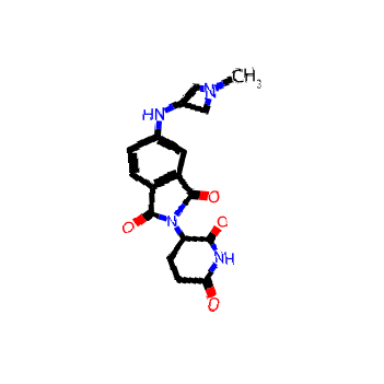 CN1CC(Nc2ccc3c(c2)C(=O)N(C2CCC(=O)NC2=O)C3=O)C1